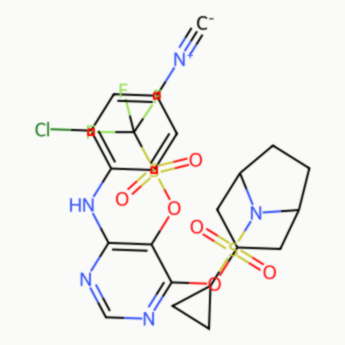 [C-]#[N+]c1ccc(Nc2ncnc(OC3CC4CCC(C3)N4S(=O)(=O)C3CC3)c2OS(=O)(=O)C(F)(F)F)c(Cl)c1